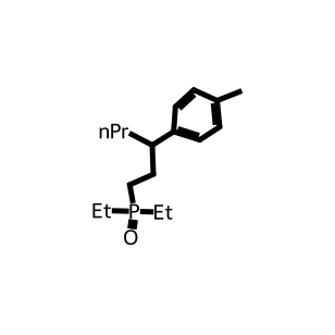 CCCC(CCP(=O)(CC)CC)c1ccc(C)cc1